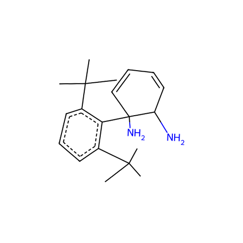 CC(C)(C)c1cccc(C(C)(C)C)c1C1(N)C=CC=CC1N